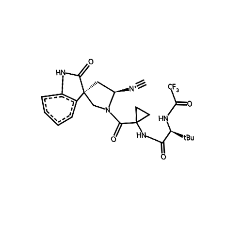 C#[N+][C@@H]1C[C@@]2(CN1C(=O)C1(NC(=O)[C@@H](NC(=O)C(F)(F)F)C(C)(C)C)CC1)C(=O)Nc1ccccc12